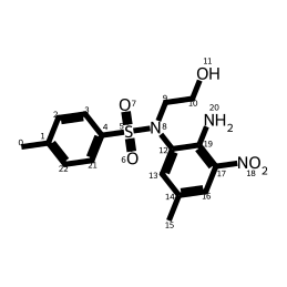 Cc1ccc(S(=O)(=O)N(CCO)c2cc(C)cc([N+](=O)[O-])c2N)cc1